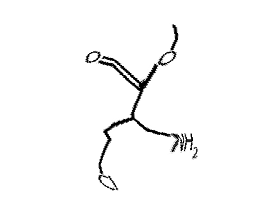 COC(=O)C(N)CCl